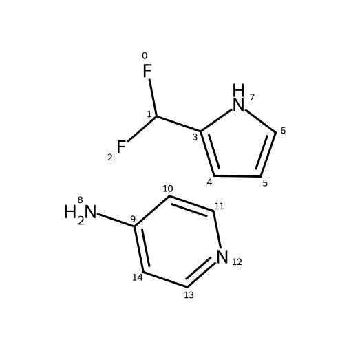 FC(F)c1ccc[nH]1.Nc1ccncc1